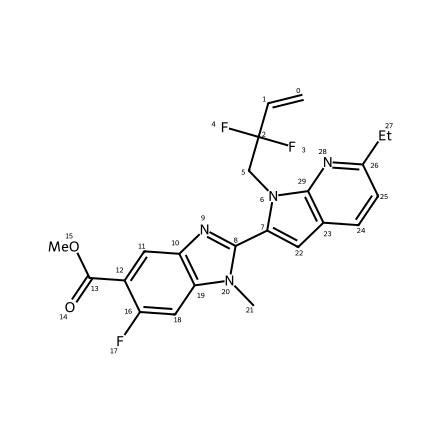 C=CC(F)(F)Cn1c(-c2nc3cc(C(=O)OC)c(F)cc3n2C)cc2ccc(CC)nc21